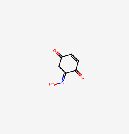 O=C1C=CC(=O)C(=NO)C1